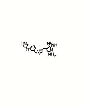 Nc1cc(Cc2cnn(Cc3cccc(O[C@@H]4CCNC4)c3)c2)c2nn[nH]c2n1